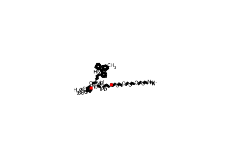 Cc1ccc(C(NCCCC[C@H](NC(=O)[C@@H](NC(=O)CCOCCOCCOCCOCCOCCOCCN=[N+]=[N-])C(C)C)C(=O)Nc2ccc(O[Si](C)(C)C(C)(C)C)cc2)(c2ccccc2)c2ccccc2)cc1